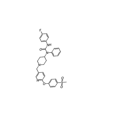 CS(=O)(=O)c1ccc(Oc2ccc(CN3CCC(N(C(=O)Nc4ccc(F)cc4)c4ccccc4)CC3)cn2)cc1